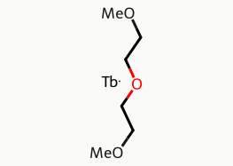 COCCOCCOC.[Tb]